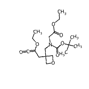 CCOC(=O)CN(CC1(CC(=C=O)OCC)COC1)C(=O)OC(C)(C)C